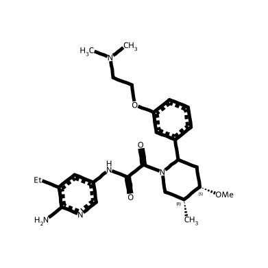 CCc1cc(NC(=O)C(=O)N2C[C@@H](C)[C@@H](OC)CC2c2cccc(OCCN(C)C)c2)cnc1N